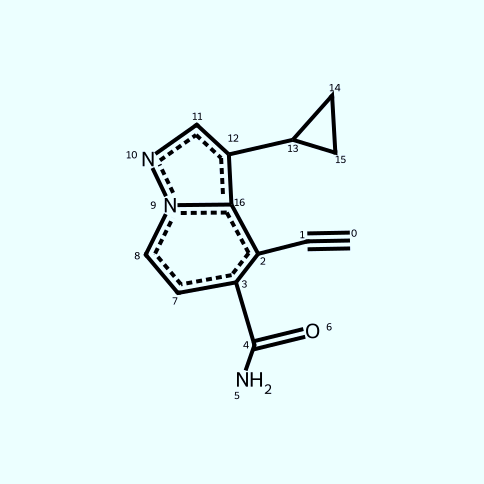 C#Cc1c(C(N)=O)ccn2ncc(C3CC3)c12